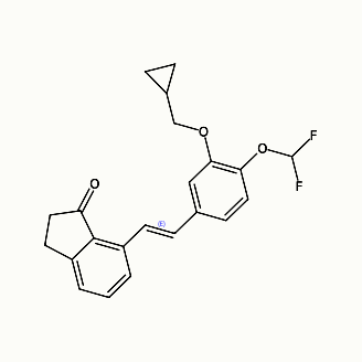 O=C1CCc2cccc(/C=C/c3ccc(OC(F)F)c(OCC4CC4)c3)c21